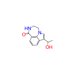 CC(O)c1cn2c3c(cccc13)C(=O)NCC2